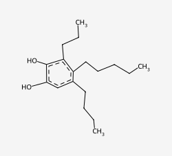 CCCCCc1c(CCCC)cc(O)c(O)c1CCC